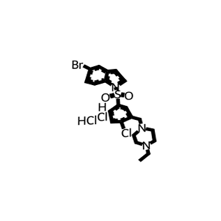 CCN1CCN(Cc2cc(S(=O)(=O)n3ccc4cc(Br)ccc43)ccc2Cl)CC1.Cl.Cl